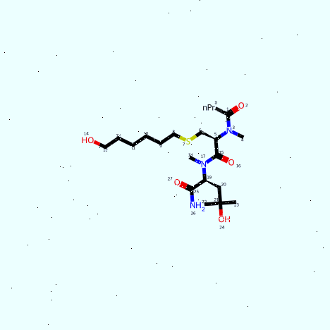 CCCC(=O)N(C)[C@H](CSCCCCCCO)C(=O)N(C)[C@@H](CC(C)(C)O)C(N)=O